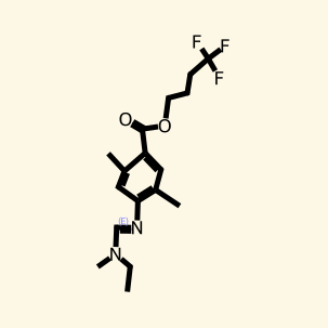 CCN(C)/C=N/c1cc(C)c(C(=O)OCCCC(F)(F)F)cc1C